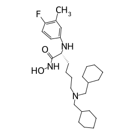 Cc1cc(N[C@H](CCCCN(CC2CCCCC2)CC2CCCCC2)C(=O)NO)ccc1F